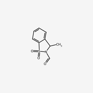 CC1c2ccccc2S(=O)(=O)N1C=O